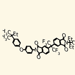 CCC(C)(C)c1ccc(Oc2ccc(N3C(=O)c4ccc(C(c5ccc6c(c5)C(=O)N(C(C)(CC)CC)C6=O)(C(F)(F)F)C(F)(F)F)cc4C3=O)cc2)cc1